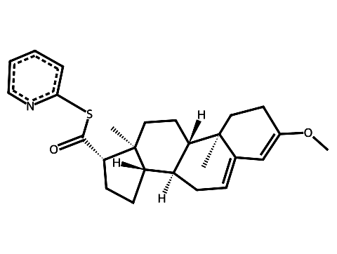 COC1=CC2=CC[C@H]3[C@@H]4CC[C@H](C(=O)Sc5ccccn5)[C@@]4(C)CC[C@@H]3[C@@]2(C)CC1